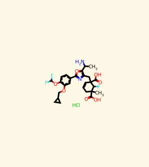 CC(N)c1oc(-c2ccc(OC(F)F)c(OCC3CC3)c2)nc1CC1(C(=O)O)C=CCC(C)(C(=O)O)C1F.Cl